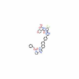 COC(=O)N[C@H](C(=O)N1CC(F)(F)C[C@H]1c1ncc(-c2ccc(-c3ccc4cc(-c5cnc([C@@H]6CCCN6C(=O)OCc6ccccc6)[nH]5)ccc4c3)cc2)[nH]1)C1CCOCC1